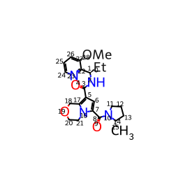 CC[C@@H](NC(=O)c1cc(C(=O)N2CCC[C@@H]2C)n2c1COCC2)c1ncccc1OC